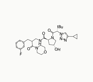 CC(C)(C)[C@@H](C(=O)N1C[C@H](O)C[C@H]1C(=O)NCC(Cc1cccc(F)c1)C(=O)N1CCOCC1)n1cc(C2CC2)nn1